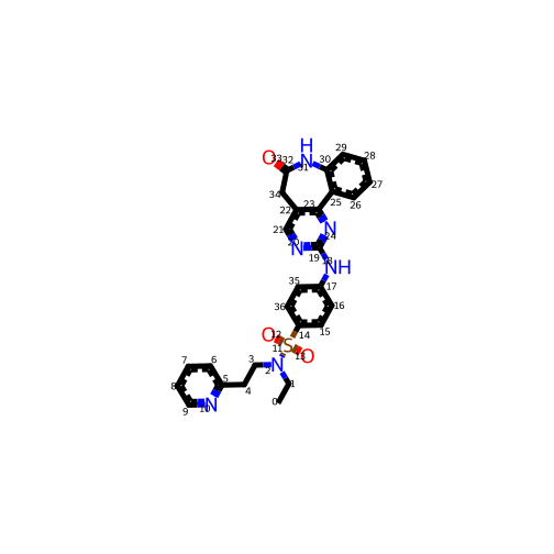 CCN(CCc1ccccn1)S(=O)(=O)c1ccc(Nc2ncc3c(n2)-c2ccccc2NC(=O)C3)cc1